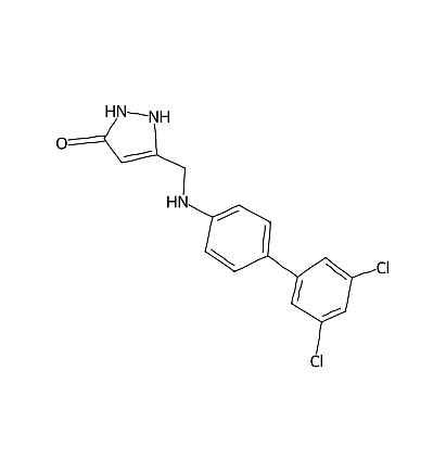 O=c1cc(CNc2ccc(-c3cc(Cl)cc(Cl)c3)cc2)[nH][nH]1